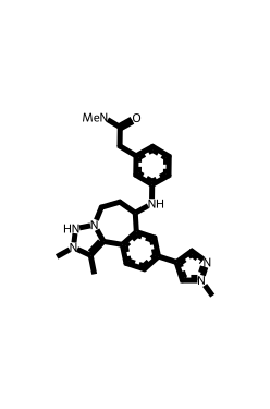 CNC(=O)Cc1cccc(NC2CCN3NN(C)C(C)=C3c3ccc(-c4cnn(C)c4)cc32)c1